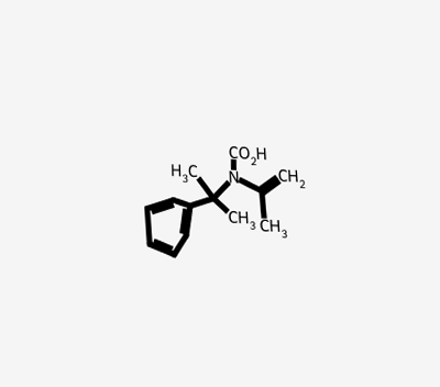 C=C(C)N(C(=O)O)C(C)(C)c1ccccc1